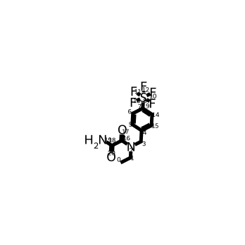 CCN(Cc1ccc(S(F)(F)(F)(F)F)cc1)C(=O)C(N)=O